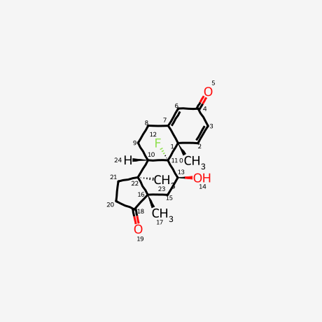 C[C@]12C=CC(=O)C=C1CC[C@@H]1[C@]2(F)[C@@H](O)C[C@]2(C)C(=O)CC[C@@]12C